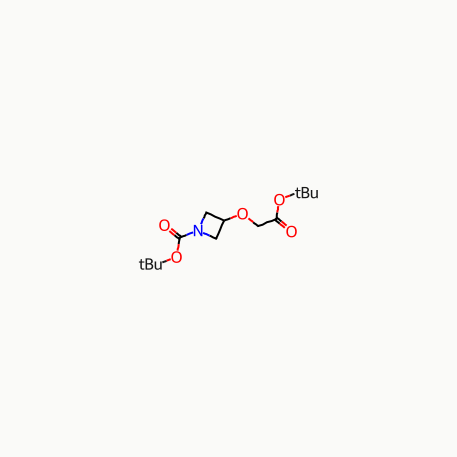 CC(C)(C)OC(=O)COC1CN(C(=O)OC(C)(C)C)C1